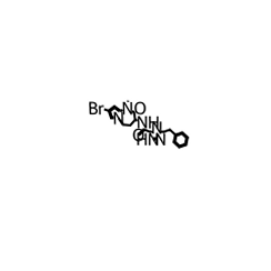 CN1C(=O)C(NC(=O)c2nc(Cc3ccccc3)n[nH]2)CCn2cc(Br)cc21